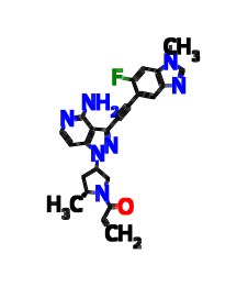 C=CC(=O)N1CC(n2nc(C#Cc3cc4ncn(C)c4cc3F)c3c(N)nccc32)C[C@@H]1C